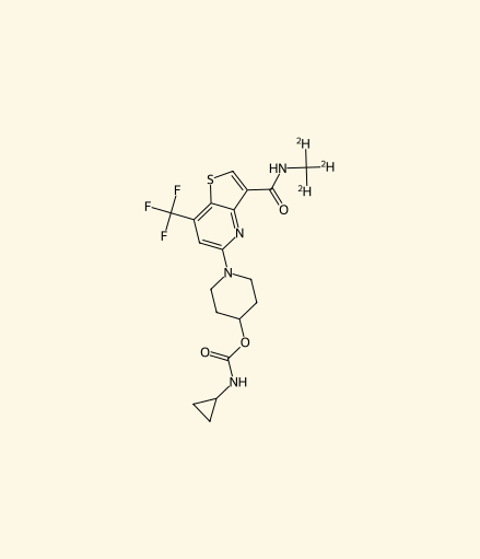 [2H]C([2H])([2H])NC(=O)c1csc2c(C(F)(F)F)cc(N3CCC(OC(=O)NC4CC4)CC3)nc12